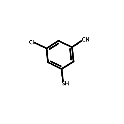 N#Cc1cc(S)cc(Cl)c1